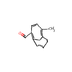 Cc1ccc(C=O)c2c1CC=C2